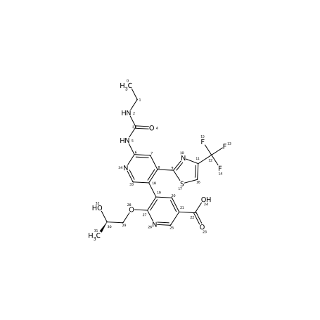 CCNC(=O)Nc1cc(-c2nc(C(F)(F)F)cs2)c(-c2cc(C(=O)O)cnc2OC[C@@H](C)O)cn1